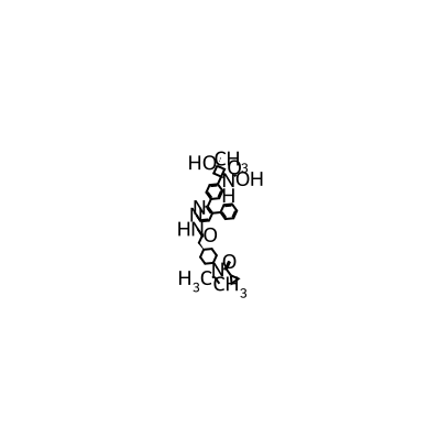 CC(C)N(C(=O)C1CC1)[C@H]1CC[C@H](CC(=O)Nc2cc(-c3ccccc3)c(-c3ccc([C@]4(NC(=O)O)C[C@@](C)(O)C4)cc3)nn2)CC1